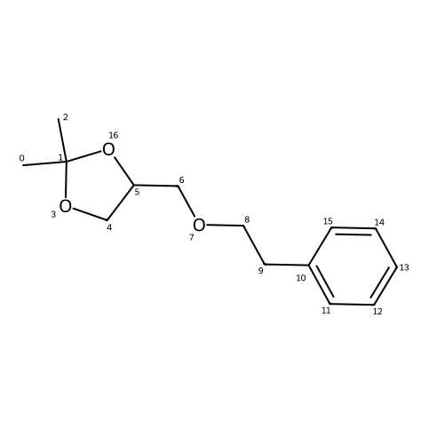 CC1(C)OCC(COCCc2ccccc2)O1